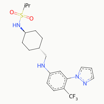 CC(C)S(=O)(=O)N[C@H]1CC[C@H](CNc2ccc(C(F)(F)F)c(-n3cccn3)c2)CC1